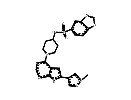 Cn1cc(-c2cc3c(N4CCC(NS(=O)(=O)c5ccc6c(c5)OCO6)CC4)ncnc3[nH]2)cn1